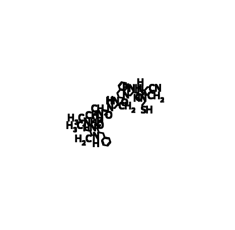 C=C(C)NC(C)CCC(=C)NC(Cc1ccccc1)C(=O)NCCCC(=C)NCC(=O)NCC(=C)NC(Cc1ccccc1)C(=O)NCC(N)C(=O)NC(CC#N)C(=C)NCCS